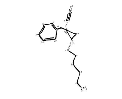 CCCCCC[C@H]1C[C@]1(C#N)c1cc[c]cc1